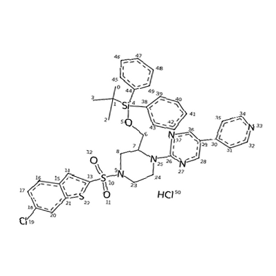 CC(C)(C)[Si](OCC1CN(S(=O)(=O)c2cc3ccc(Cl)cc3s2)CCN1c1ncc(-c2ccncc2)cn1)(c1ccccc1)c1ccccc1.Cl